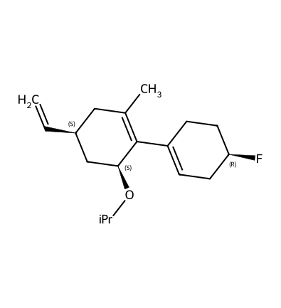 C=C[C@H]1CC(C)=C(C2=CC[C@H](F)CC2)[C@@H](OC(C)C)C1